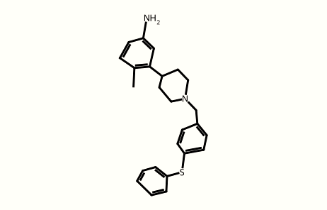 Cc1ccc(N)cc1C1CCN(Cc2ccc(Sc3ccccc3)cc2)CC1